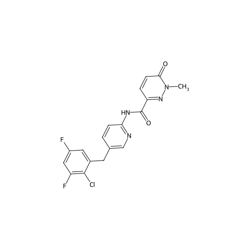 Cn1nc(C(=O)Nc2ccc(Cc3cc(F)cc(F)c3Cl)cn2)ccc1=O